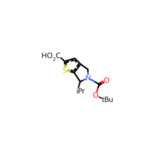 CC(C)C1c2sc(C(=O)O)cc2CN1C(=O)OC(C)(C)C